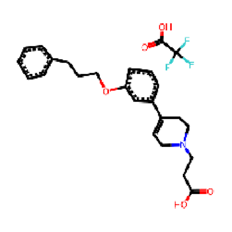 O=C(O)C(F)(F)F.O=C(O)CCN1CC=C(c2cccc(OCCCc3ccccc3)c2)CC1